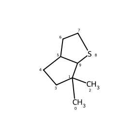 CC1(C)CCC2CCSC21